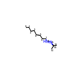 CCCCCCCCNN=C(C)C